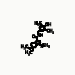 CCC1(CC)CCc2c(C(=O)NCc3cc(C)c(O)c(C)c3)sc(SC)c2C1